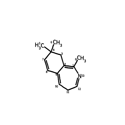 CC1=C2CC(C)(C)C=CC2=CCC=N1